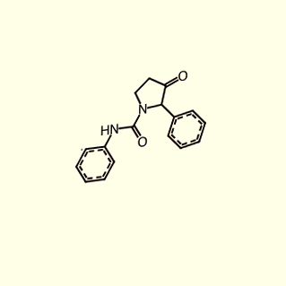 O=C1CCN(C(=O)Nc2[c]cccc2)C1c1ccccc1